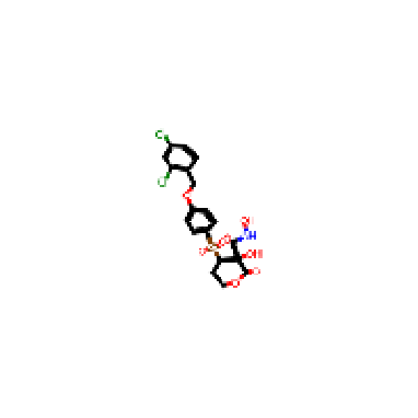 O=C(NO)C1(O)C(=O)OCCC1S(=O)(=O)c1ccc(OCc2ccc(Cl)cc2Cl)cc1